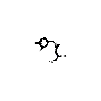 O=C/C(=C\C1CN1Cc1ccc(F)c(F)c1)CO